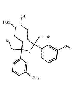 CCCCC(CBr)(OC(CBr)(CCCC)c1cccc(C)c1)c1cccc(C)c1